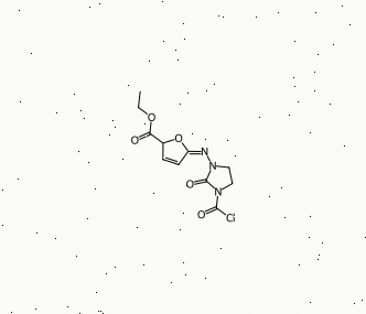 CCOC(=O)C1C=CC(=NN2CCN(C(=O)Cl)C2=O)O1